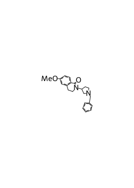 COc1ccc2c(c1)CCN(C1CCN(Cc3ccccc3)C1)C2=O